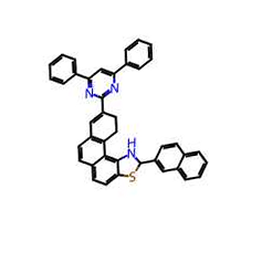 C1=C(c2nc(-c3ccccc3)cc(-c3ccccc3)n2)CCc2c1ccc1ccc3c(c21)NC(c1ccc2ccccc2c1)S3